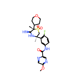 COc1cnc(C(=O)Nc2ccc(F)c([C@]3(C)CS(=O)(=O)[C@@](C)(C4CCOCC4)C(=N)N3)c2)cn1